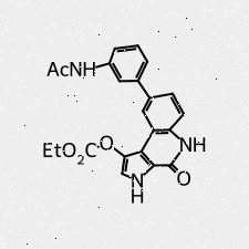 CCOC(=O)Oc1c[nH]c2c(=O)[nH]c3ccc(-c4cccc(NC(C)=O)c4)cc3c12